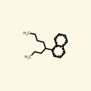 CCCCC(CCC)c1cccc2ccccc12